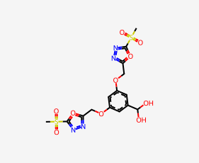 CS(=O)(=O)c1nnc(COc2cc(OCc3nnc(S(C)(=O)=O)o3)cc(C(O)O)c2)o1